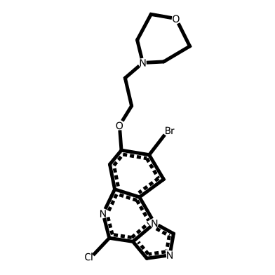 Clc1nc2cc(OCCN3CCOCC3)c(Br)cc2n2cncc12